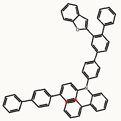 c1ccc(-c2ccc(-c3ccc(N(c4ccc(-c5ccc(-c6ccccc6)c(-c6cc7ccccc7o6)c5)cc4)c4ccccc4-c4ccccc4)cc3)cc2)cc1